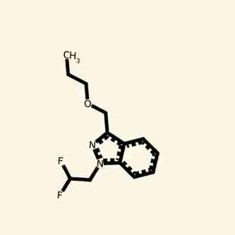 CCCOCc1nn(CC(F)F)c2ccccc12